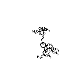 CN(C)CCC1CC[C@@H](CCB2OC(C)(C)C(C)(C)O2)CC1(C)C(=O)NC(C)(C)C